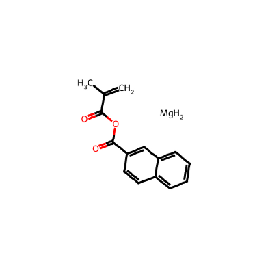 C=C(C)C(=O)OC(=O)c1ccc2ccccc2c1.[MgH2]